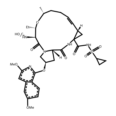 CC[C@@H]1O[C@H](C)CC/C=C\[C@@H]2CC2(C(=O)NS(=O)(=O)C2CC2)NC(=O)[C@@H]2C[C@@H](Oc3nc(OC)cc4cc(OC)ccc34)CN2C(=O)[C@H]1NC(=O)O